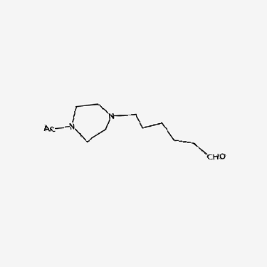 CC(=O)N1CCN(CCCCCC=O)CC1